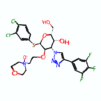 [O-][N+]1(CCO[C@@H]2[C@@H](n3cc(-c4cc(F)c(F)c(F)c4)nn3)[C@@H](O)[C@@H](CO)O[C@@H]2Sc2ccc(Cl)c(Cl)c2)CCOCC1